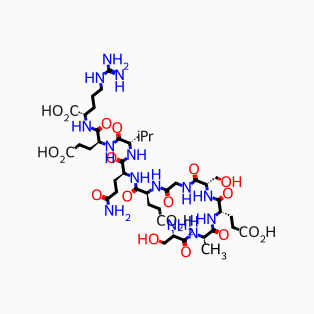 CC(C)[C@H](NC(=O)[C@H](CCC(N)=O)NC(=O)[C@H](CCC(=O)O)NC(=O)CNC(=O)[C@H](CO)NC(=O)[C@H](CCC(=O)O)NC(=O)[C@H](C)NC(=O)[C@@H](N)CO)C(=O)N[C@@H](CCC(=O)O)C(=O)N[C@@H](CCCNC(=N)N)C(=O)O